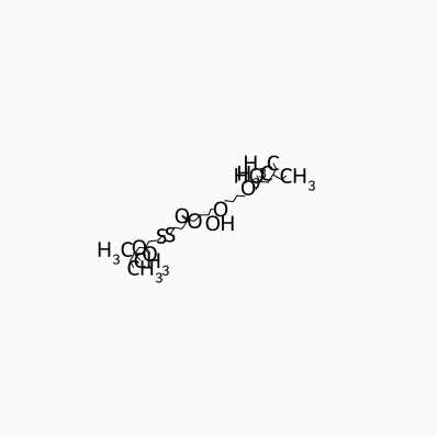 CCC(C)(CC)CC(O)COCCCCOCC(O)COC(=O)CCSSCCC(=O)OC(C)(C)CC